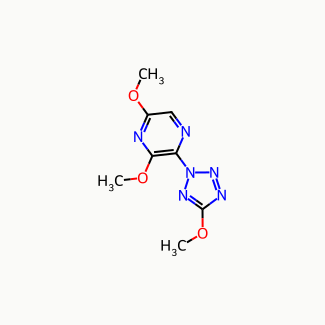 COc1cnc(-n2nnc(OC)n2)c(OC)n1